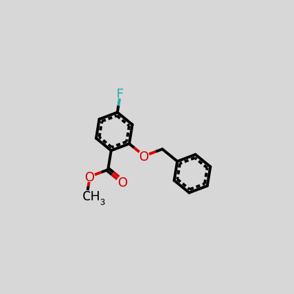 COC(=O)c1ccc(F)cc1OCc1ccccc1